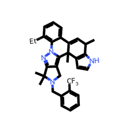 CCc1cccc2c1-n1nc3c(c1C1(C)C2=CC(C)c2[nH]ccc21)CN(Cc1ccccc1C(F)(F)F)C3(C)C